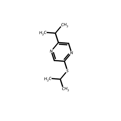 CC(C)Sc1cnc(C(C)C)cn1